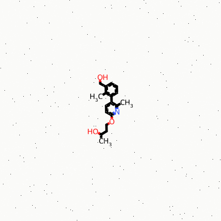 Cc1nc(OCCC(C)O)ccc1-c1cccc(CO)c1C